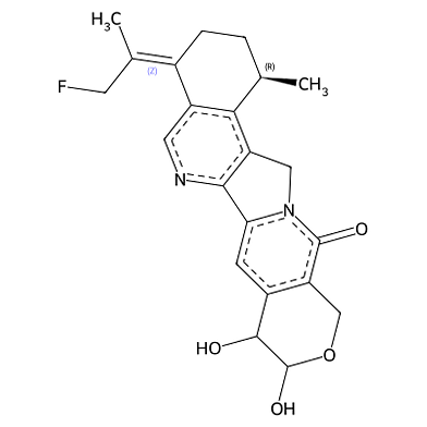 C/C(CF)=C1\CC[C@@H](C)c2c1cnc1c2Cn2c-1cc1c(c2=O)COC(O)C1O